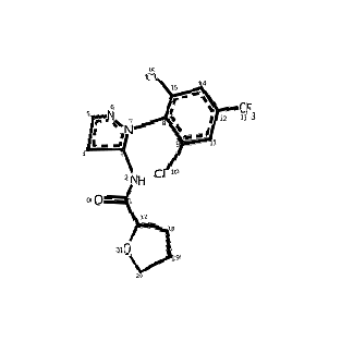 O=C(Nc1ccnn1-c1c(Cl)cc(C(F)(F)F)cc1Cl)C1CCCO1